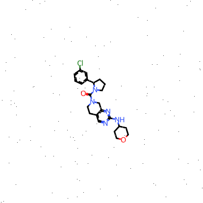 O=C(N1CCc2cnc(NC3CCOCC3)nc2C1)N1CCCC1c1cccc(Cl)c1